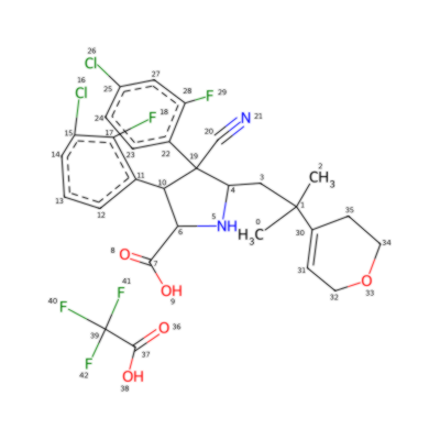 CC(C)(CC1NC(C(=O)O)C(c2cccc(Cl)c2F)C1(C#N)c1ccc(Cl)cc1F)C1=CCOCC1.O=C(O)C(F)(F)F